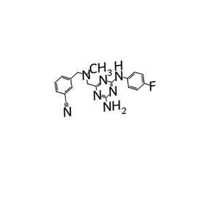 CN(Cc1cccc(C#N)c1)Cc1nc(N)nc(Nc2ccc(F)cc2)n1